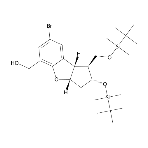 CC(C)(C)[Si](C)(C)OC[C@@H]1[C@H]2c3cc(Br)cc(CO)c3O[C@H]2C[C@H]1O[Si](C)(C)C(C)(C)C